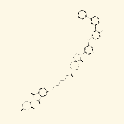 O=C1CCC(N2C(=O)c3ccc(OCCCCCC(=O)N4CCC5(CC4)CCN(c4cncc(Nc6ncc(Cl)c(-c7cccc(-c8ccccc8)c7)n6)c4)C5=O)cc3C2=O)C(=O)N1